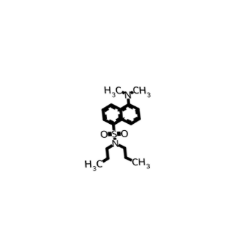 CCCN(CCC)S(=O)(=O)c1cccc2c(N(C)C)cccc12